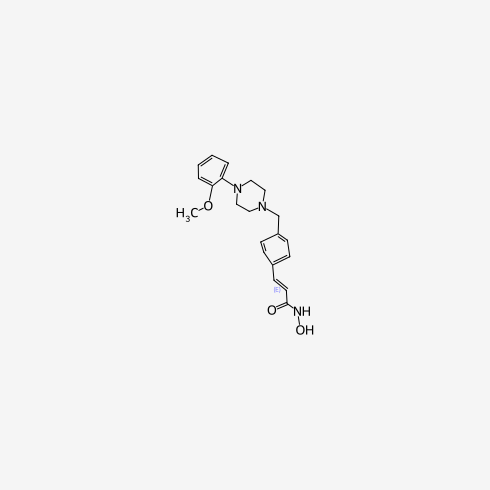 COc1ccccc1N1CCN(Cc2ccc(/C=C/C(=O)NO)cc2)CC1